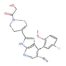 COc1ccc(F)cc1-c1c(C#N)cnc2[nH]c(C3=CCN(C(=O)CO)CC3)cc12